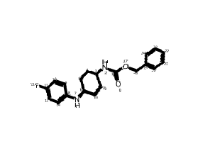 O=C(NC1CCC(Nc2ccc(F)cc2)CC1)OCc1ccccc1